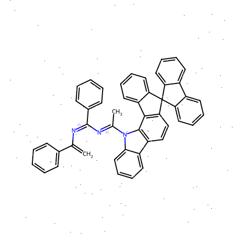 C=C(/N=C(\N=C(/C)n1c2ccccc2c2ccc3c(c21)-c1ccccc1C31c2ccccc2-c2ccccc21)c1ccccc1)c1ccccc1